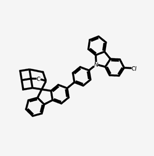 Clc1ccc2c(c1)c1ccccc1n2-c1ccc(-c2ccc3c(c2)C2(c4ccccc4-3)C3CC4CC5CC2C45C3)cc1